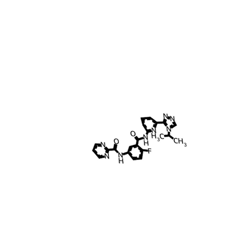 CC(C)n1cnnc1-c1cccc(NC(=O)c2cc(NC(=O)c3ncccn3)ccc2F)n1